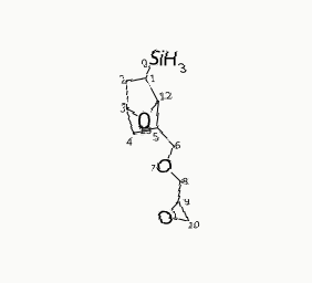 [SiH3]C1CC2CC(COCC3CO3)C1O2